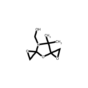 CC1(C)N(CO)C2(CO2)OC12CO2